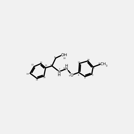 Cc1ccc(ONNC(CO)c2ccccc2)cc1